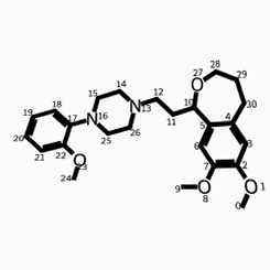 COc1cc2c(cc1OC)C(CCN1CCN(c3ccccc3OC)CC1)OCCC2